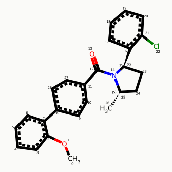 COc1ccccc1-c1ccc(C(=O)N2[C@@H](c3ccccc3Cl)CC[C@@H]2C)cc1